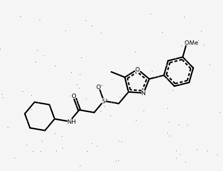 COc1cccc(-c2nc(C[S+]([O-])CC(=O)NC3CCCCC3)c(C)o2)c1